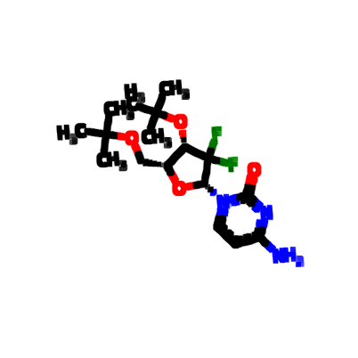 CC(C)(C)OC[C@H]1O[C@@H](n2ccc(N)nc2=O)C(F)(F)[C@H]1OC(C)(C)C